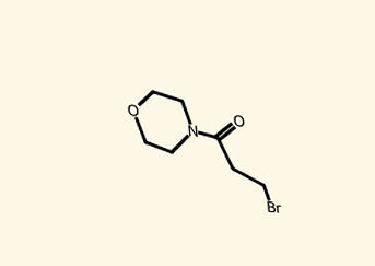 O=C(CCBr)N1CCOCC1